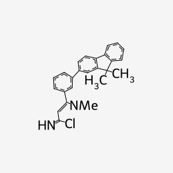 CN/C(=C\C(=N)Cl)c1cccc(-c2ccc3c(c2)C(C)(C)c2ccccc2-3)c1